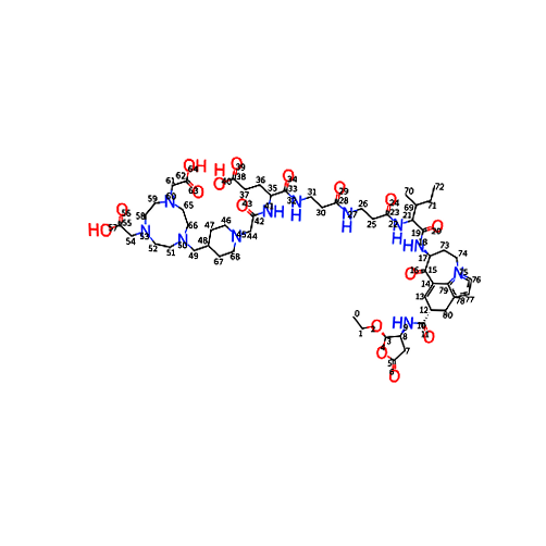 CCO[C@@H]1OC(=O)C[C@@H]1NC(=O)[C@@H]1C=C2C(=O)[C@@H](NC(=O)C(NC(=O)CCNC(=O)CCNC(=O)C(CCC(=O)O)NC(=O)CN3CCC(CN4CCN(CC(=O)O)CCN(CC(=O)O)CC4)CC3)C(C)CC)CCn3ccc(c32)C1